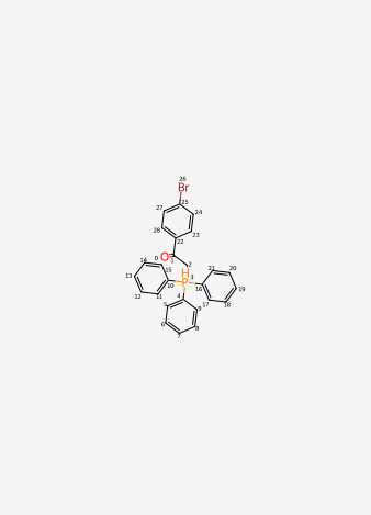 O=C(C[PH](c1ccccc1)(c1ccccc1)c1ccccc1)c1ccc(Br)cc1